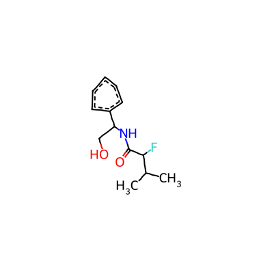 CC(C)C(F)C(=O)NC(CO)c1ccccc1